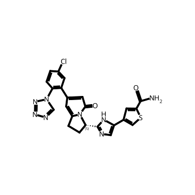 NC(=O)c1cc(-c2cnc([C@@H]3CCc4cc(-c5cc(Cl)ccc5-n5cnnn5)cc(=O)n43)[nH]2)cs1